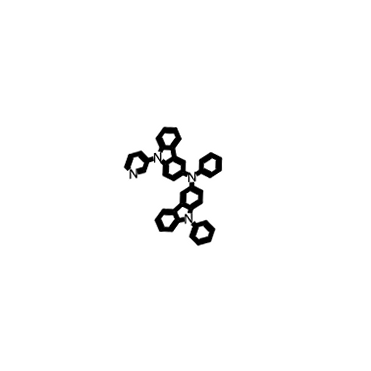 c1ccc(N(c2ccc3c(c2)c2ccccc2n3-c2ccccc2)c2ccc3c(c2)c2ccccc2n3-c2cccnc2)cc1